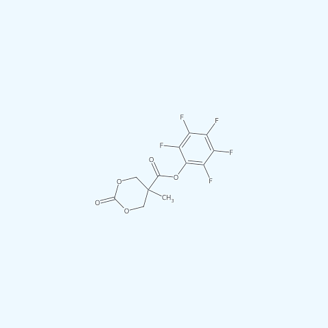 CC1(C(=O)Oc2c(F)c(F)c(F)c(F)c2F)COC(=O)OC1